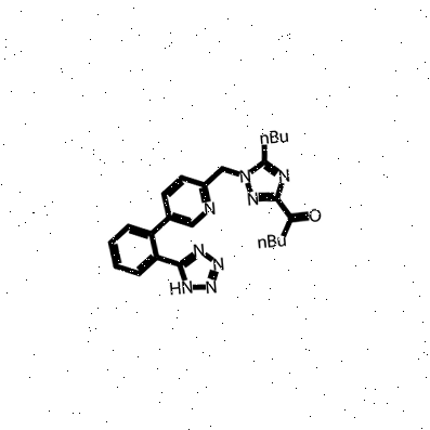 CCCCC(=O)c1nc(CCCC)n(Cc2ccc(-c3ccccc3-c3nnn[nH]3)cn2)n1